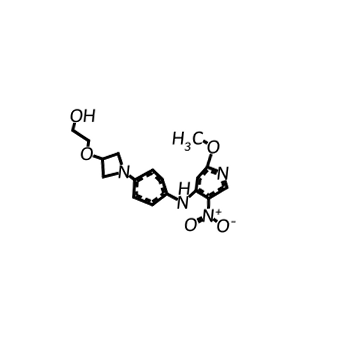 COc1cc(Nc2ccc(N3CC(OCCO)C3)cc2)c([N+](=O)[O-])cn1